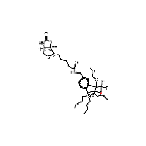 CCC[CH2][Sn]([CH2]CCC)([CH2]CCC)[c]1ccc(CNC(=O)CCCC[C@@H]2SC[C@@H]3NC(=O)N[C@@H]32)cc1C(OCOC)(C(F)(F)F)C(F)(F)F